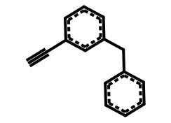 C#Cc1cccc(Cc2ccccc2)c1